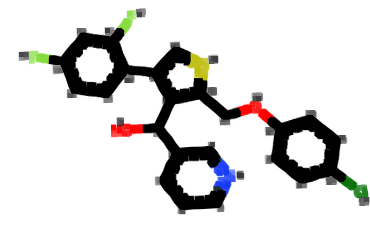 OC(c1cccnc1)c1c(-c2ccc(F)cc2F)csc1COc1ccc(Cl)cc1